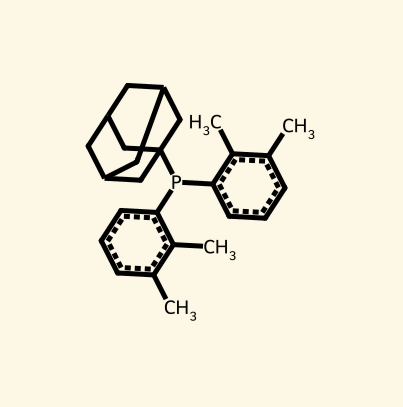 Cc1cccc(P(c2cccc(C)c2C)C23CC4CC(CC(C4)C2)C3)c1C